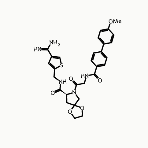 COc1ccc(-c2ccc(C(=O)NCC(=O)N3CC4(C[C@H]3C(=O)NCc3cc(C(=N)N)cs3)OCCO4)cc2)cc1